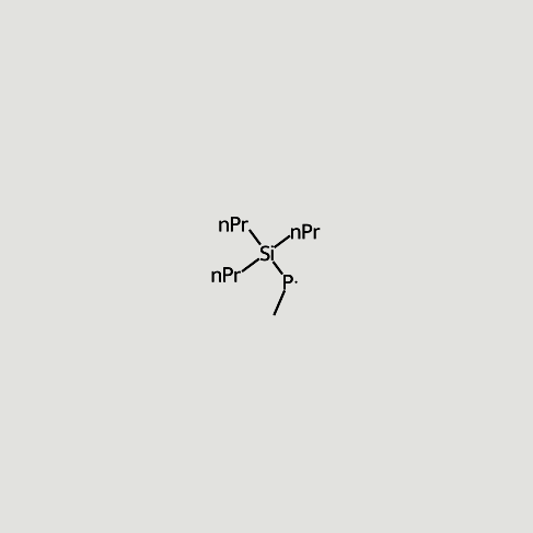 CCC[Si](CCC)(CCC)[P]C